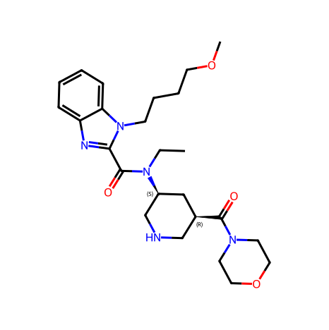 CCN(C(=O)c1nc2ccccc2n1CCCCOC)[C@@H]1CNC[C@H](C(=O)N2CCOCC2)C1